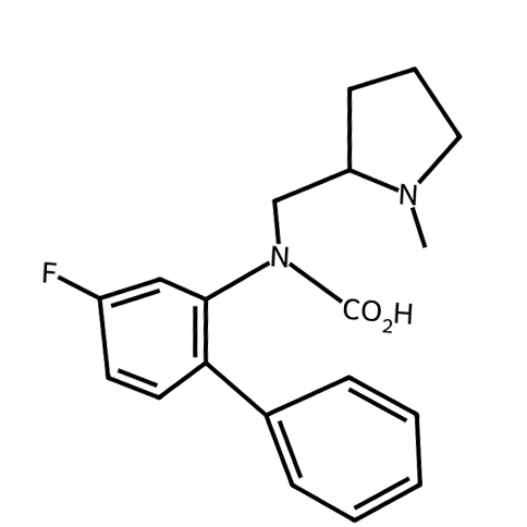 CN1CCCC1CN(C(=O)O)c1cc(F)ccc1-c1ccccc1